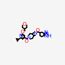 O=C(c1cc(OCC2CCOCC2)nc(C2CC2)c1)N1CCC2CN(C(=O)C3CCc4[nH]nnc4C3)CC2CC1